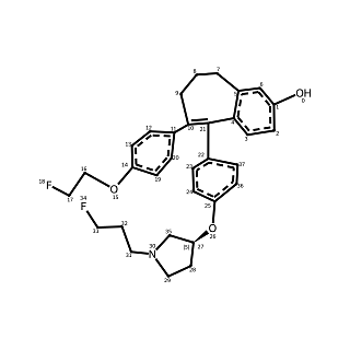 Oc1ccc2c(c1)CCCC(c1ccc(OCCF)cc1)=C2c1ccc(O[C@H]2CCN(CCCF)C2)cc1